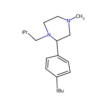 CC(C)CN1CCN(C)CC1c1ccc(C(C)(C)C)cc1